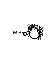 COC[C@@H]1[C@@H]2CN(C(=O)[C@H](C(C)(C)C)NC(=O)O[C@@H]3C[C@H]3CCCCCCc3nc4ccc(OC)cc4nc3O2)[C@@H]1C(C)=O